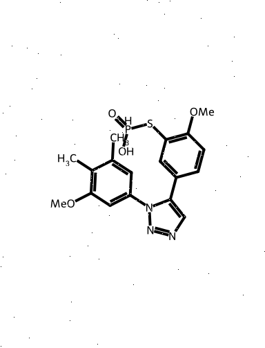 COc1ccc(-c2cnnn2-c2cc(C)c(C)c(OC)c2)cc1S[PH](=O)O